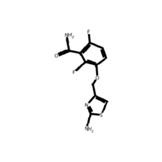 NC(=O)c1c(F)ccc(OCc2csc(N)n2)c1F